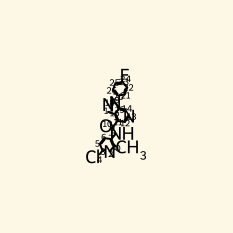 Cc1nc(Cl)ccc1NC(=O)c1cncc2c1cnn2-c1ccc(F)cc1